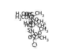 CCOC(=O)[C@@H](C)C[C@H](Cc1ccccc1)OC(=O)c1csc([C@H](O)C[C@H](C(C)C)N(C)C(=O)[C@@H](NC(=O)OC(C)(C)C)[C@@H](C)CC)n1